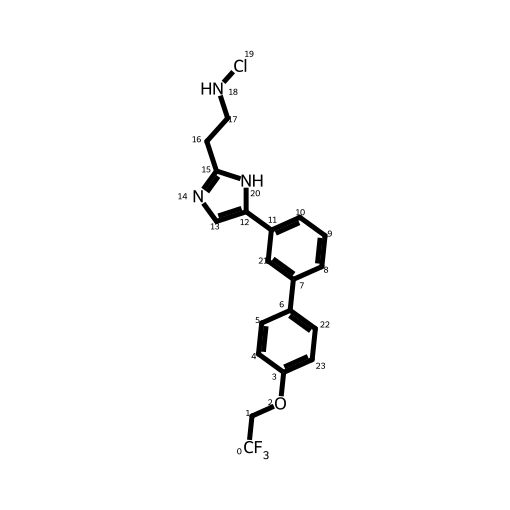 FC(F)(F)COc1ccc(-c2cccc(-c3cnc(CCNCl)[nH]3)c2)cc1